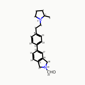 CC1CCCN1CCc1ccc(-c2ccc3c(c2)CN(C=O)C3)cc1